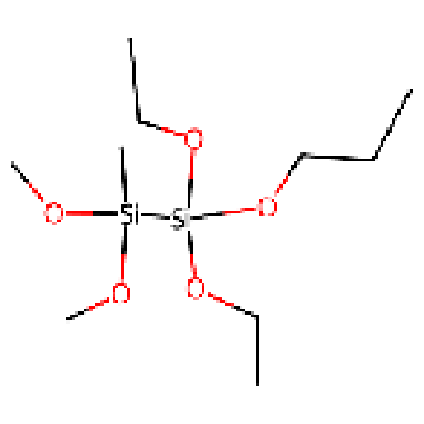 CCCO[Si](OCC)(OCC)[Si](C)(OC)OC